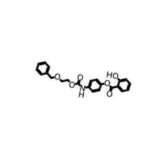 O=C(Nc1ccc(OC(=O)c2ccccc2O)cc1)OCCOCc1ccccc1